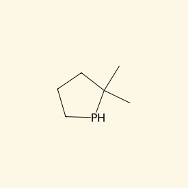 CC1(C)CCCP1